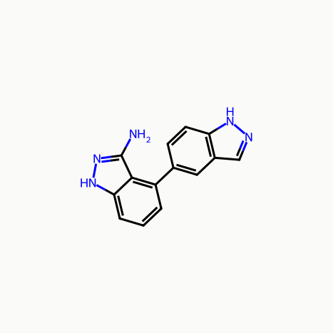 Nc1n[nH]c2cccc(-c3ccc4[nH]ncc4c3)c12